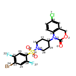 O=C1OCc2cc(Cl)ccc2N1C1CCN(S(=O)(=O)c2cc(F)c(Br)cc2F)CC1